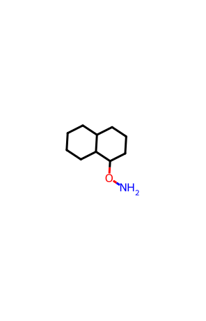 NOC1CCCC2CCCCC21